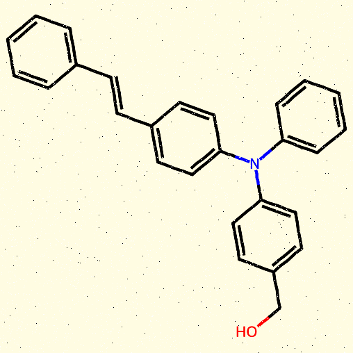 OCc1ccc(N(c2ccccc2)c2ccc(C=Cc3ccccc3)cc2)cc1